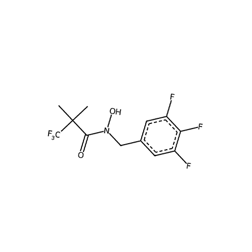 CC(C)(C(=O)N(O)Cc1cc(F)c(F)c(F)c1)C(F)(F)F